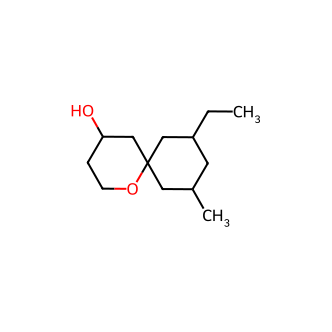 CCC1CC(C)CC2(CC(O)CCO2)C1